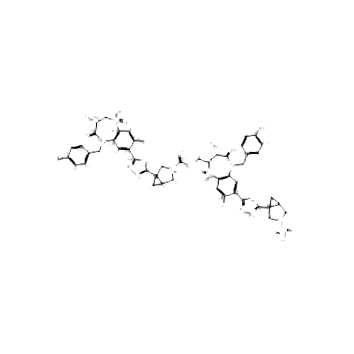 CS(=O)(=O)N1CC2CC2(c2nnc(-c3cc4c(cc3F)S(=O)(=O)C(COC(=O)N3CC5CC5(c5nnc(-c6cc7c(cc6F)S(=O)(=O)C[C@H](N)C(=O)N7Cc6ccc(Cl)cc6)o5)C3)[C@H](N)C(=O)N4Cc3ccc(Cl)cc3)o2)C1